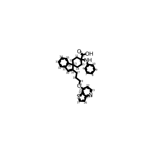 O=C(O)C1(Nc2ccccc2)CCC2(CC1)C(CCCOc1ccnc3ccsc13)=Cc1ccccc12